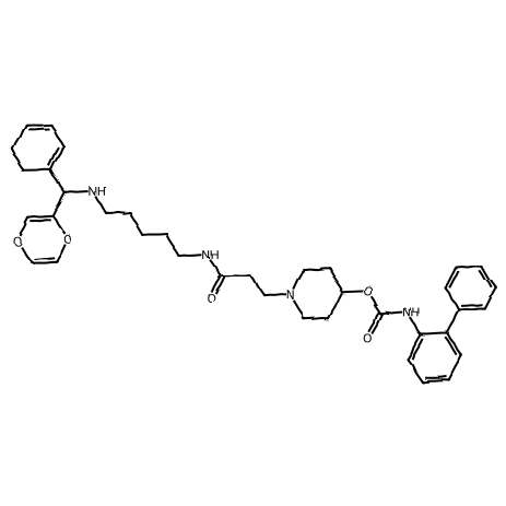 O=C(CCN1CCC(OC(=O)Nc2ccccc2-c2ccccc2)CC1)NCCCCCNC(C1=CC=CCC1)C1=COC=CO1